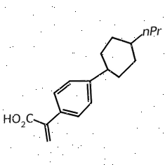 C=C(C(=O)O)c1ccc(C2CCC(CCC)CC2)cc1